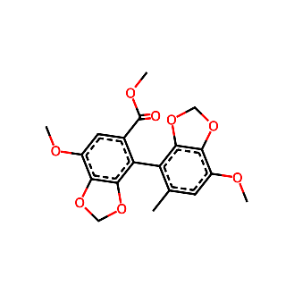 COC(=O)c1cc(OC)c2c(c1-c1c(C)cc(OC)c3c1OCO3)OCO2